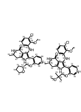 COc1c(Cl)cccc1Nc1c(-c2ccncc2OCC(C)(C)OC)[nH]c2c1C(=O)N[C@H](C)C2.COc1c(Cl)cccc1Nc1c(-c2ccncc2OC[C@@H]2CCCO2)[nH]c2c1C(=O)NC(C)C2